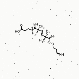 CC(C)(N=NC(C)(C)C(=N)OOCCC=N)C(=N)NCCC(=O)O